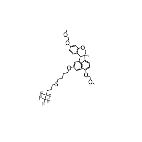 COCOc1ccc(C2(C)COc3cc(OCOC)ccc3C2c2cccc(OCCCCSCCCC(F)(F)C(F)(F)F)c2)cc1